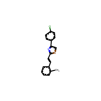 Cc1ccccc1C=Cc1nc(-c2ccc(Cl)cc2)cs1